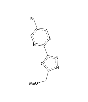 COCc1nnc(-c2ncc(Br)cn2)o1